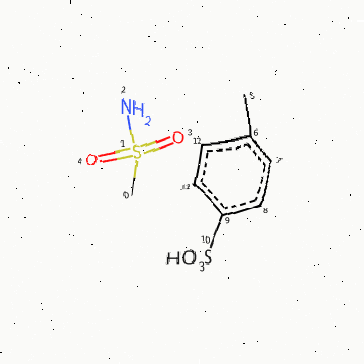 CS(N)(=O)=O.Cc1ccc(S(=O)(=O)O)cc1